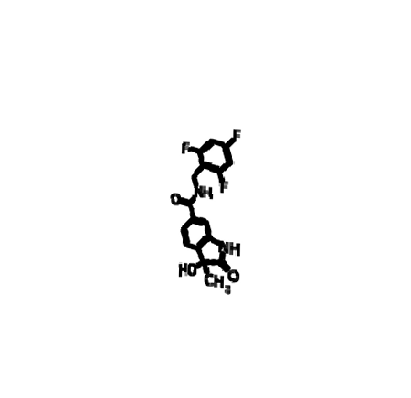 CC1(O)C(=O)Nc2cc(C(=O)NCc3c(F)cc(F)cc3F)ccc21